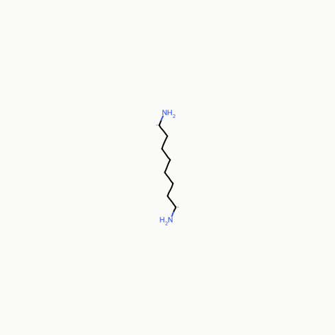 N[CH]CCCCCC[CH]N